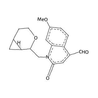 COc1ccc2c(C=O)cc(=O)n(CC3OCCC4C[C@@H]43)c2c1